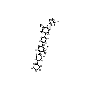 Fc1c(OC(F)(F)C(F)(F)F)ccc(-c2ccc(-c3ccc(C4CCC(C5CCCCC5)CC4)c(F)c3F)cc2)c1F